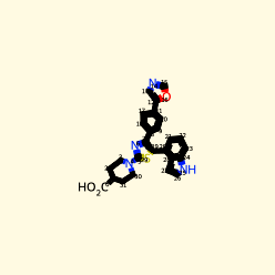 O=C(O)C1CCN(c2nc(-c3ccc(-c4cnco4)cc3)c(-c3cccc4[nH]ccc34)s2)CC1